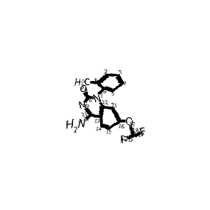 Cc1ccccc1-n1c(=O)nc(N)c2ccc(OC(F)F)cc21